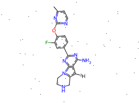 [2H]c1c2n(c3nc(-c4ccc(Oc5nccc(C)n5)c(F)c4)nc(N)c13)CCNC2